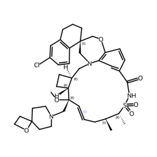 CO[C@@]1(CN2CCC3(CCO3)CC2)/C=C/C[C@H](C)[C@@H](C)S(=O)(=O)NC(=O)c2ccc3c(c2)N(C[C@@H]2CC[C@H]21)C[C@@]1(CCCc2cc(Cl)ccc21)CO3